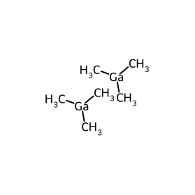 [CH3][Ga]([CH3])[CH3].[CH3][Ga]([CH3])[CH3]